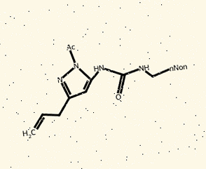 C=CCc1cc(NC(=O)NCCCCCCCCCC)n(C(C)=O)n1